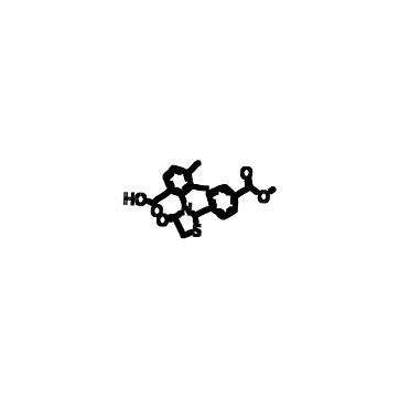 COC(=O)c1ccc(C2SCC(=O)N2c2c(C(=O)O)ccc(C)c2C)cc1